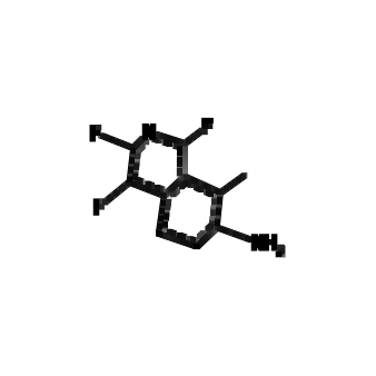 Cc1c(N)ccc2c(F)c(F)nc(F)c12